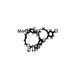 CO[C@H]1/C=C/CCOC(=O)NS(=O)(=O)c2ccc3c(c2)N(CCCCc2cc(Cl)ccc2CO3)C[C@@H]2CC[C@H]21